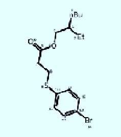 CCCCC(CC)COC(=O)CCSc1ccc(Br)cc1